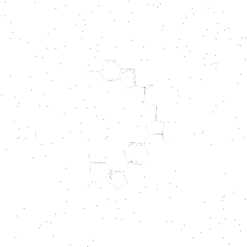 CN(C)Cc1nccn1-c1ccc(N2CC(CNC(=O)c3cc4ccc(Cl)nc4s3)CC2=O)cc1